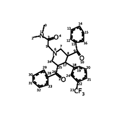 CN(C)C(=O)CN1CC(C(=O)c2ccccc2)C(c2cccc(C(F)(F)F)c2)C(C(=O)c2ccccc2)C1